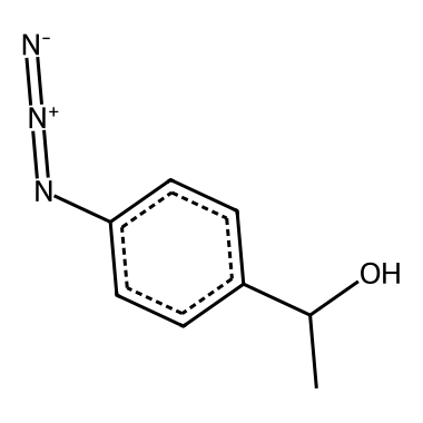 CC(O)c1ccc(N=[N+]=[N-])cc1